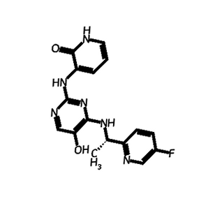 C[C@H](Nc1nc(Nc2ccc[nH]c2=O)ncc1O)c1ccc(F)cn1